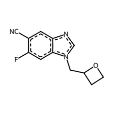 N#Cc1cc2ncn(CC3CCO3)c2cc1F